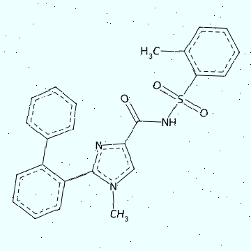 Cc1ccccc1S(=O)(=O)NC(=O)c1cn(C)c(-c2ccccc2-c2ccccc2)n1